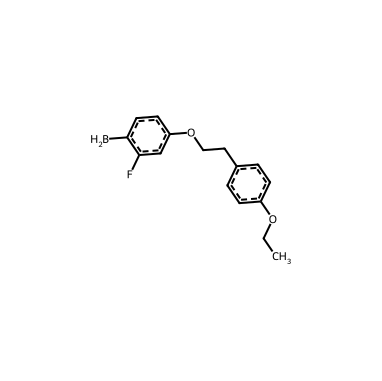 Bc1ccc(OCCc2ccc(OCC)cc2)cc1F